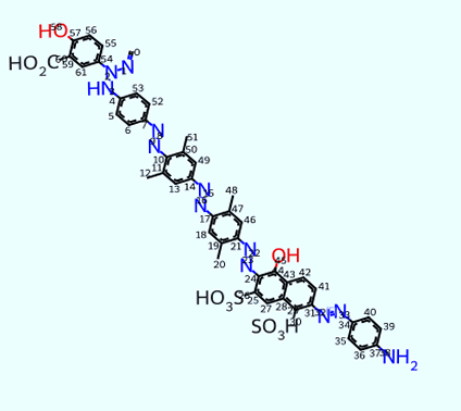 C=NN(Nc1ccc(N=Nc2c(C)cc(N=Nc3cc(C)c(N=Nc4c(S(=O)(=O)O)cc5c(S(=O)(=O)O)c(/N=N/c6ccc(N)cc6)ccc5c4O)cc3C)cc2C)cc1)c1ccc(O)c(C(=O)O)c1